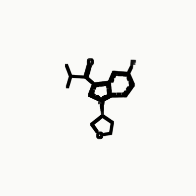 CC(C)C(=O)c1cn([C@H]2CCOC2)c2ccc(F)cc12